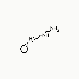 NCCNCCNCCN1CCCCC1